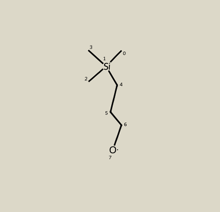 C[Si](C)(C)CCC[O]